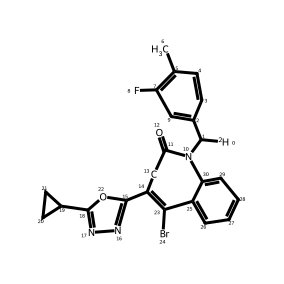 [2H]C(c1ccc(C)c(F)c1)N1C(=O)CC(c2nnc(C3CC3)o2)=C(Br)c2ccccc21